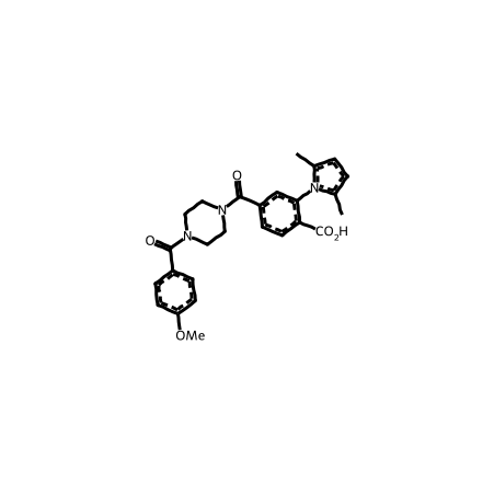 COc1ccc(C(=O)N2CCN(C(=O)c3ccc(C(=O)O)c(-n4c(C)ccc4C)c3)CC2)cc1